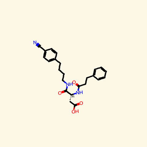 N#Cc1ccc(CCCCNC(=O)[C@@H](CC(=O)O)NC(=O)CCc2ccccc2)cc1